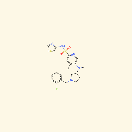 Cc1cc(S(=O)(=O)Nc2cscn2)ncc1N(C)C1CCN(Cc2ccccc2F)C1